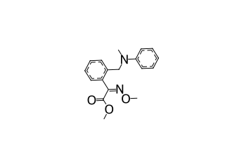 CON=C(C(=O)OC)c1ccccc1CN(C)c1ccccc1